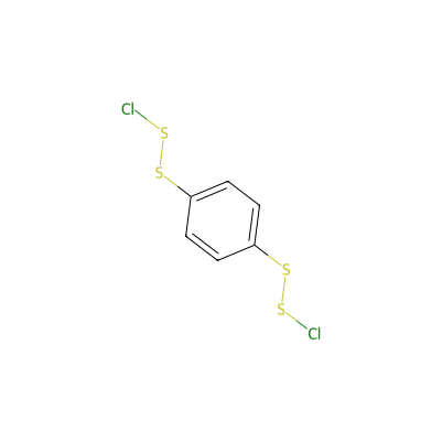 ClSSc1ccc(SSCl)cc1